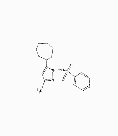 O=S(=O)(Nn1nc(C(F)(F)F)cc1C1CCCCCC1)c1ccccc1